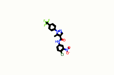 Cc1c(C(=O)Nc2ccc(Cl)c([N+](=O)[O-])c2)cnn1-c1ccc(C(F)(F)F)cc1